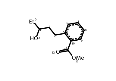 CCC(O)CCc1ccccc1C(=O)OC